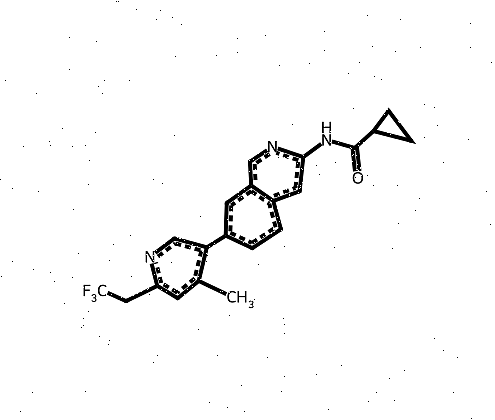 Cc1cc(CC(F)(F)F)ncc1-c1ccc2cc(NC(=O)C3CC3)ncc2c1